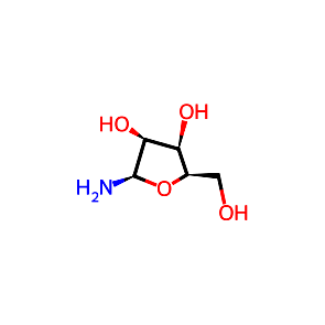 N[C@@H]1O[C@H](CO)[C@H](O)[C@@H]1O